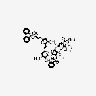 C=C1C[C@H](CCCO[Si](c2ccccc2)(c2ccccc2)C(C)(C)C)OC1CC[C@H]1C[C@@H](C)C(=C)[C@@H](C[C@@H]2O[C@H](C[C@H]3CN(C(=O)OC(C)(C)C)C(C)(C)O3)[C@H](C)[C@H]2CS(=O)(=O)c2ccccc2)O1